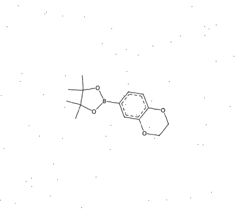 CC1(C)OB(c2ccc3c(c2)OCCO3)OC1(C)C